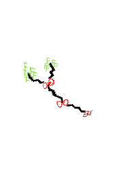 O=C(CCCCC(OCCCCC(F)(F)C(F)(F)F)OCCCCC(F)(F)C(F)(F)F)OCCCCCCBr